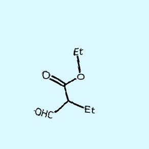 CCOC(=O)C([C]=O)CC